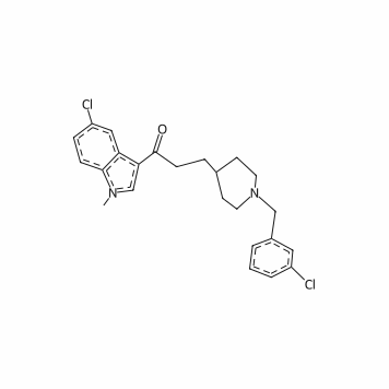 Cn1cc(C(=O)CCC2CCN(Cc3cccc(Cl)c3)CC2)c2cc(Cl)ccc21